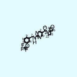 O=C(c1cnc(NCc2cccc(OC(F)(F)F)c2)nc1)N1CCC12COC2